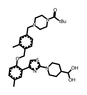 Cc1ccc(OCc2ccc(CN3CCN(C(=O)C(C)(C)C)CC3)cc2C)c(-c2csc(N3CCC(C(O)O)CC3)n2)c1